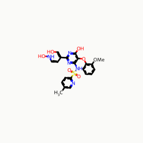 COc1ccccc1Oc1c(O)nc(C(/C=C\NO)=C/O)nc1NS(=O)(=O)c1ccc(C)cn1